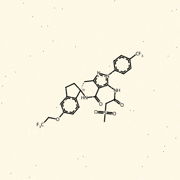 CS(=O)(=O)CC(=O)Nc1c2c(nn1-c1ccc(C(F)(F)F)cc1)C[C@]1(CCc3cc(OCC(F)(F)F)ccc31)NC2=O